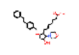 O=C(O)CCCC=CCC1C(OCc2ccc(CCc3ccccc3)cc2)CC(O)C1N1CCOCC1